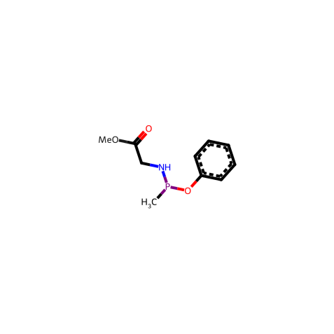 COC(=O)CNP(C)Oc1ccccc1